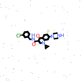 O=C(NCc1cccc(Cl)c1)c1cn(C2CC2)c2cc(N3CCNCC3)c(F)cc2c1=O